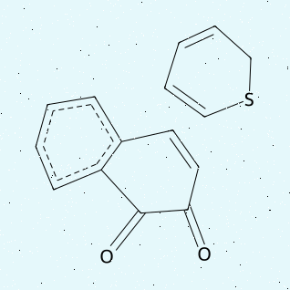 C1=CCSC=C1.O=C1C=Cc2ccccc2C1=O